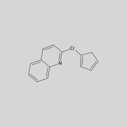 C1=CC[C]([Cr][c]2ccc3ccccc3n2)=C1